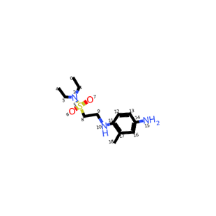 CCN(CC)S(=O)(=O)CCNc1ccc(N)cc1C